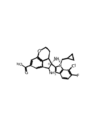 NC1c2cc(C(=O)O)cc3c2C(CCO3)[C@@]1(N)c1cc2ccc(F)c(Cl)c2n1CC1CC1